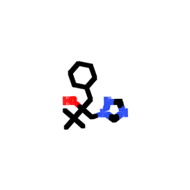 CC(C)(C)C(O)(CC1CCCCC1)Cn1cncn1